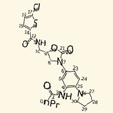 CCCC(=O)Nc1cc(N2CC(CNC(=O)c3ccc(Cl)s3)OC2=O)ccc1N1CCCC1